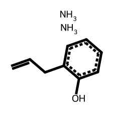 C=CCc1ccccc1O.N.N